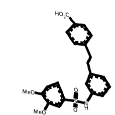 COc1ccc(S(=O)(=O)Nc2cccc(CCc3ccc(C(=O)O)cc3)c2)cc1OC